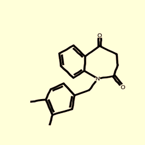 Cc1ccc(CN2C(=O)CCC(=O)c3ccccc32)cc1C